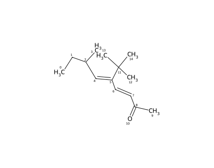 CCC(C)C=C(C=CC(C)=O)C(C)(C)C